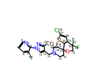 CCOC(=O)c1nn(-c2ncccc2F)cc1CN1CCC2(CC1)OCC(F)(F)C1C=C(Cl)SC12